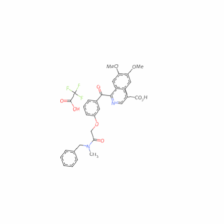 COc1cc2c(C(=O)O)cnc(C(=O)c3cccc(OCC(=O)N(C)Cc4ccccc4)c3)c2cc1OC.O=C(O)C(F)(F)F